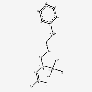 CC(C)=C[SiH](CCCNc1ccccc1)[Si](C)(C)C